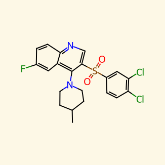 CC1CCN(c2c(S(=O)(=O)c3ccc(Cl)c(Cl)c3)cnc3ccc(F)cc23)CC1